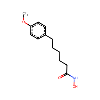 O=C(CCCCCc1ccc(OC(F)(F)F)cc1)NO